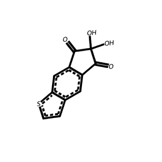 O=C1c2cc3ccsc3cc2C(=O)C1(O)O